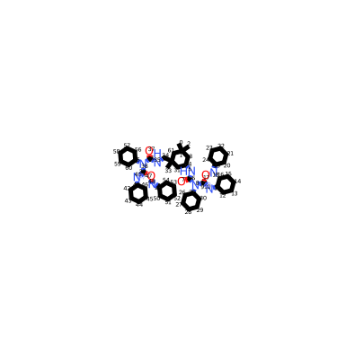 CC1(C)CC(NC(=O)N(/C(=N/C2CCCCC2)ON=C2CCCCC2)C2CCCCC2)CC(C)(CNC(=O)N(/C(=N/C2CCCCC2)ON=C2CCCCC2)C2CCCCC2)C1